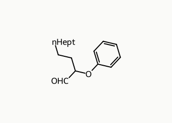 CCCCCCCCCC(C=O)Oc1ccccc1